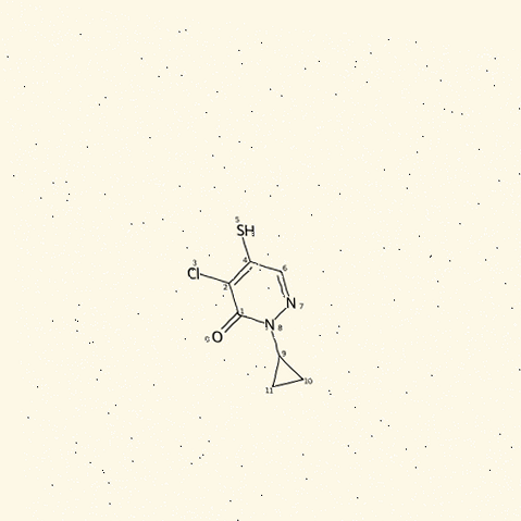 O=c1c(Cl)c(S)cnn1C1CC1